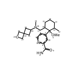 COC1(c2ccnc(C(N)=O)c2)C(C)CCCC1CN(C)C1CC2(COC2)C1